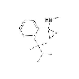 CNC1(c2ccccc2C(C)(C)C(C)C)CC1